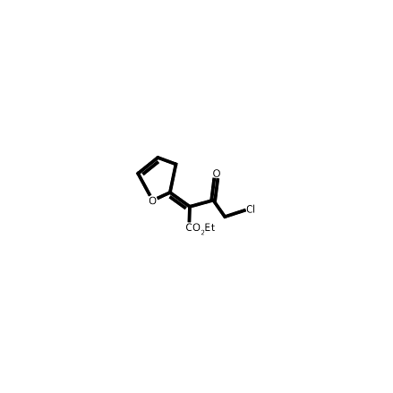 CCOC(=O)C(C(=O)CCl)=C1CC=CO1